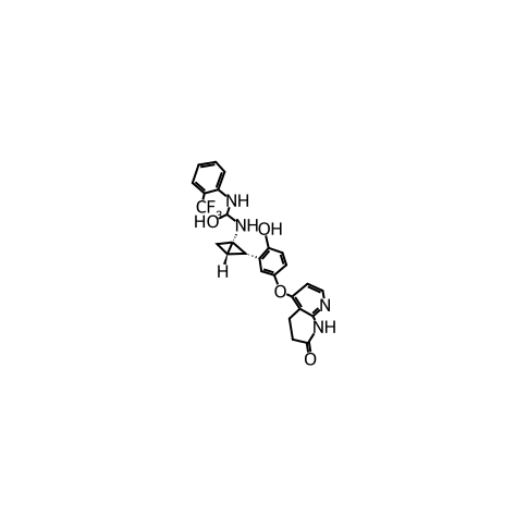 O=C1CCc2c(Oc3ccc(O)c([C@@H]4[C@@H]5C[C@@]45NC(O)Nc4ccccc4C(F)(F)F)c3)ccnc2N1